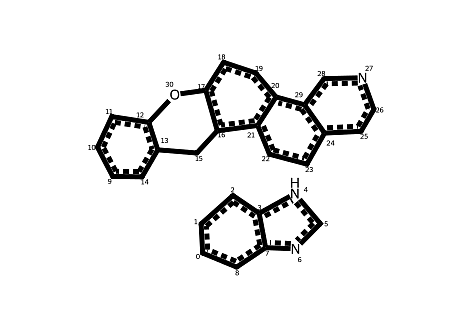 c1ccc2[nH]cnc2c1.c1ccc2c(c1)Cc1c(ccc3c1ccc1ccncc13)O2